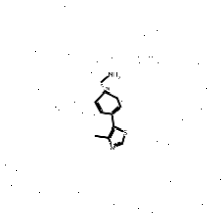 Cc1ncsc1C1=CC[C@@H](CN)C=C1